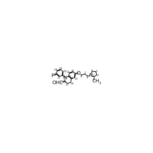 C[C@@H]1CCCN1CCCOc1ccc2c(c1)CCC(C=O)N2c1cccc(F)c1